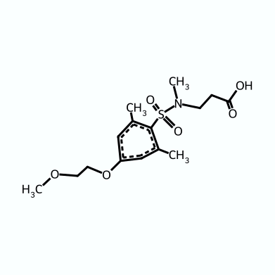 COCCOc1cc(C)c(S(=O)(=O)N(C)CCC(=O)O)c(C)c1